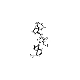 Nc1ncnc2c1ccn2[C@@H]1O[C@H](CN2CCCC23CCCNC3)[C@@H](O)[C@H]1O